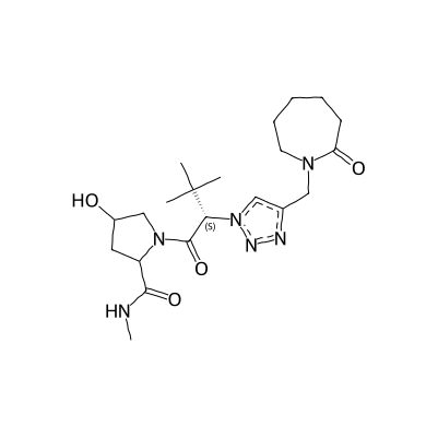 CNC(=O)C1CC(O)CN1C(=O)[C@@H](n1cc(CN2CCCCCC2=O)nn1)C(C)(C)C